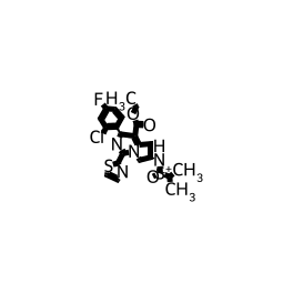 CCOC(=O)C1=C2C[C@H](N[S+]([O-])C(C)C)CN2C(c2nccs2)=N[C@H]1c1ccc(F)cc1Cl